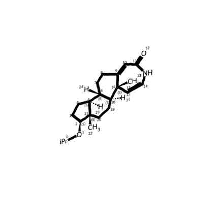 CC(C)O[C@H]1CC[C@H]2[C@@H]3CCC4=CC(=O)NC=C[C@]4(C)[C@H]3CC[C@]12C